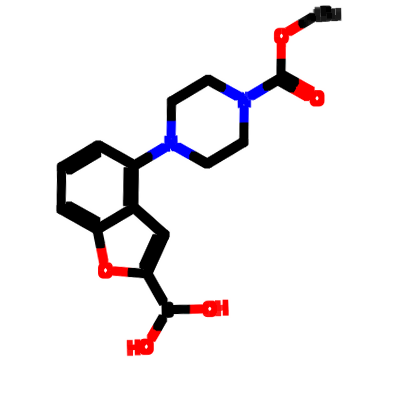 CC(C)(C)OC(=O)N1CCN(c2cccc3oc(B(O)O)cc23)CC1